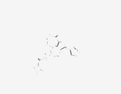 O=C1NCCN2c3c1sc(-c1cn[nH]c1)c3OC[C@H]2CNC(=O)C1CCC1